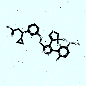 COc1ccc(F)c(-c2snc(COc3cccc(C(CC(=O)O)C4CC4)c3)c2C2=CCCC2(C)C)c1